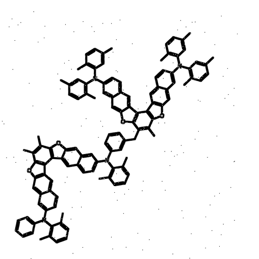 Cc1ccc(C)c(N(c2ccc3cc4c(cc3c2)oc2c(C)c(Cc3cccc(N(c5ccc6cc7c(cc6c5)oc5c(C)c(C)c6oc8cc9cc(N(c%10ccccc%10)c%10c(C)cccc%10C)ccc9cc8c6c57)c5c(C)cccc5C)c3)c3oc5cc6cc(N(c7cc(C)ccc7C)c7cc(C)ccc7C)ccc6cc5c3c24)c2cc(C)ccc2C)c1